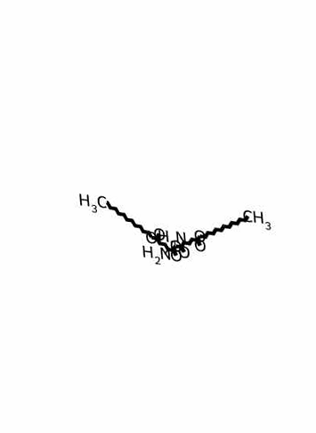 CCCCCCCCCCCCOC(=O)CC[C@H](N)C(=O)OC(=O)[C@@H](N)CCC(=O)OCCCCCCCCCCCC